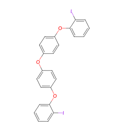 Ic1ccccc1Oc1ccc(Oc2ccc(Oc3ccccc3I)cc2)cc1